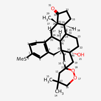 CSc1ccc2c(c1)C[C@]13CCC4(CC(C)(C)COO4)C[C@]1(O)CC[C@@H]1[C@@H]3[C@@H]2C[C@]2(C)C(=O)CC[C@@H]12